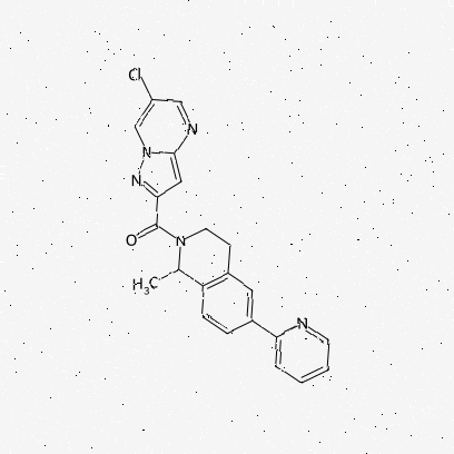 CC1c2ccc(-c3ccccn3)cc2CCN1C(=O)c1cc2ncc(Cl)cn2n1